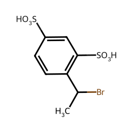 CC(Br)c1ccc(S(=O)(=O)O)cc1S(=O)(=O)O